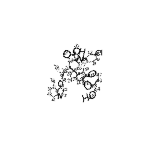 COC(=O)C1(Nc2cccc(Cl)c2)CCC2(CC1)c1cc3c(cc1C[C@@H]2C[C@@H](C)COc1ccnc2c1[C@H](C)CCC2)O[C@@H](CO)CCO3